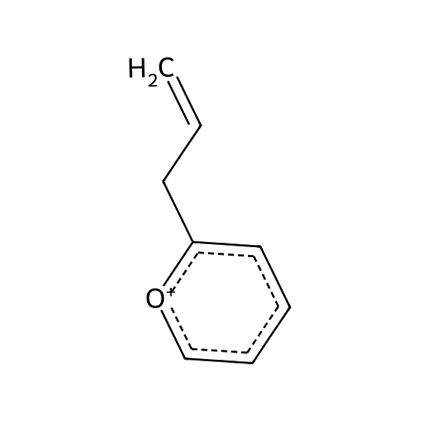 C=CCc1cccc[o+]1